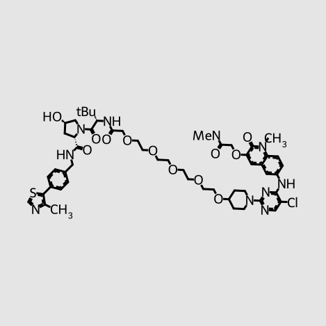 CNC(=O)COc1cc2cc(Nc3nc(N4CCC(OCCOCCOCCOCCOCC(=O)N[C@H](C(=O)N5C[C@H](O)C[C@H]5C(=O)NCc5ccc(-c6scnc6C)cc5)C(C)(C)C)CC4)ncc3Cl)ccc2n(C)c1=O